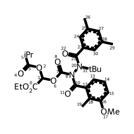 CCOC(=O)C(OC(=O)C(C)C)OC(=O)N(C(=O)c1cccc(OC)c1C)N(C(=O)c1cc(C)cc(C)c1)C(C)(C)C